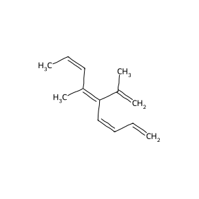 C=C\C=C/C(C(=C)C)=C(C)/C=C\C